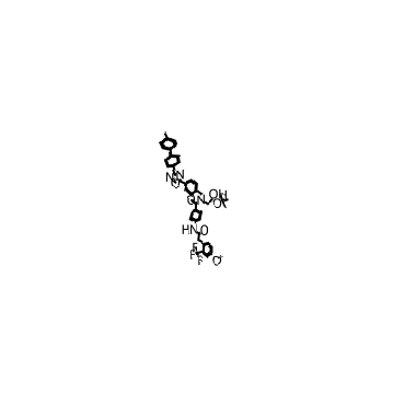 COc1ccc(CC(=O)Nc2ccc(C(=O)N(Cc3ccc(-c4nc(-c5ccc(-c6ccc(C)cc6)cc5)no4)cc3)CC(O)OC(C)(C)C)cc2)c(C(F)(F)F)c1